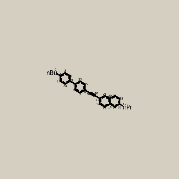 CCCCc1ccc(-c2ccc(C#Cc3ccc4cc(CCC)ccc4c3)cc2)cc1